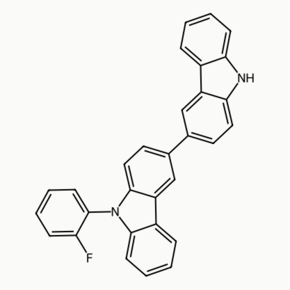 Fc1ccccc1-n1c2ccccc2c2cc(-c3ccc4[nH]c5ccccc5c4c3)ccc21